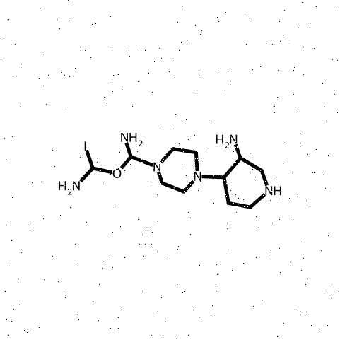 NC(I)OC(N)N1CCN(C2CCNCC2N)CC1